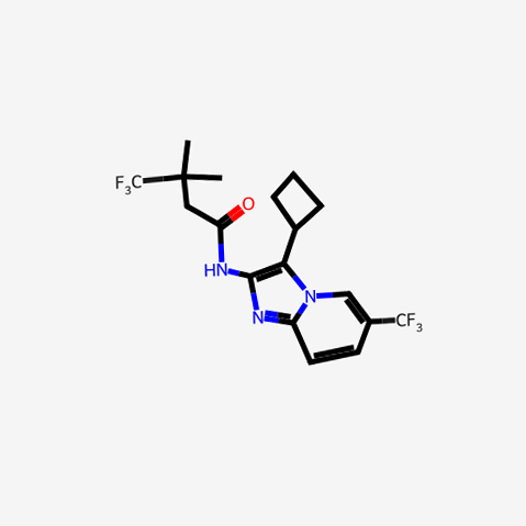 CC(C)(CC(=O)Nc1nc2ccc(C(F)(F)F)cn2c1C1CCC1)C(F)(F)F